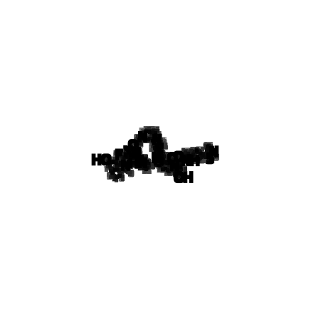 CCc1cccc2cc(O)cc(-c3ncc4c(N5CC6CCC(C5)N6)nc(OCCN5CCC(C)(CN6CCN(c7cc([C@@H](C(=O)N8C[C@H](O)C[C@H]8C(=O)N[C@@H](C)c8ccc(-c9scnc9C)cc8)C(C)C)on7)CC6)CC5)nc4c3F)c12